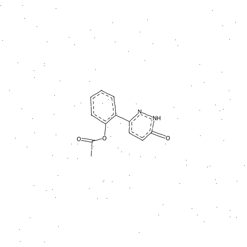 CC(=O)Oc1ccccc1-c1ccc(=O)[nH]n1